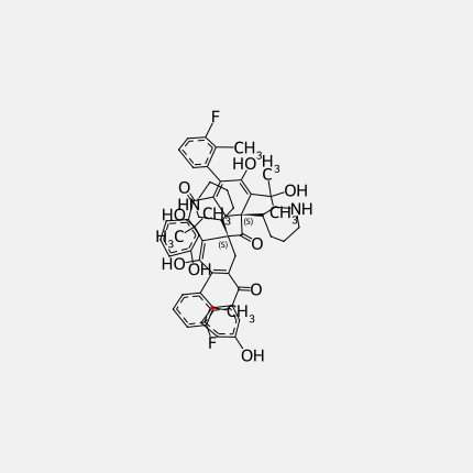 Cc1c(F)cccc1C1=C(C(=O)c2cccc(O)c2)C[C@](C(=O)[C@]2(C3CCCNC3)CC(C(=O)c3cccc(O)c3)=C(c3cccc(F)c3C)C(O)=C2C(C)(C)O)(C2CCCNC2)C(C(C)(C)O)=C1O